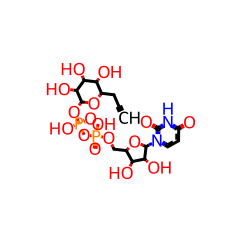 C#CCC1OC(OP(=O)(O)OP(=O)(O)OCC2OC(n3ccc(=O)[nH]c3=O)C(O)C2O)C(O)C(O)C1O